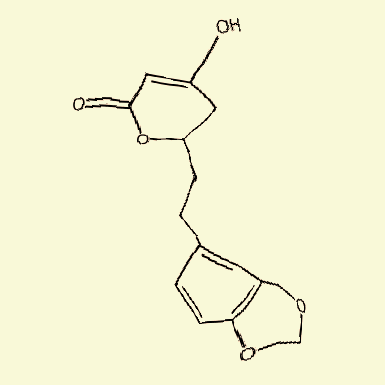 O=C1C=C(O)CC(CCc2ccc3c(c2)OCO3)O1